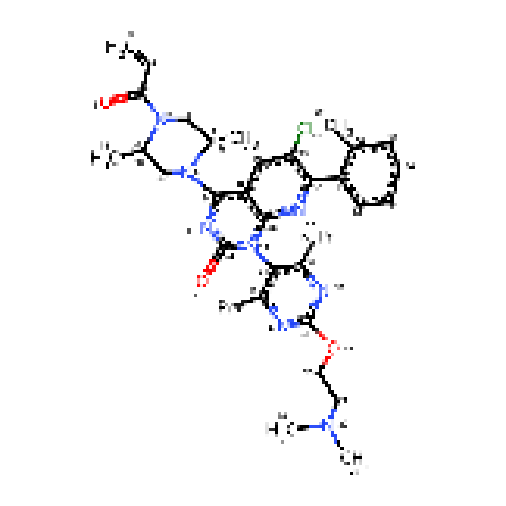 C=CC(=O)N1C[C@H](C)N(c2nc(=O)n(-c3c(C(C)C)nc(OCCN(C)C)nc3C(C)C)c3nc(-c4ccccc4C)c(Cl)cc23)C[C@H]1C